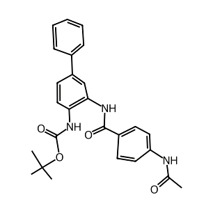 CC(=O)Nc1ccc(C(=O)Nc2cc(-c3ccccc3)ccc2NC(=O)OC(C)(C)C)cc1